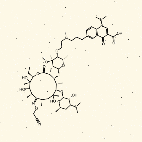 CC[C@H]1OC(=O)[C@H](C)[C@@H](O[C@H]2C[C@@](C)(OC)[C@@H](OCCN(C)CCCc3ccc4c(c3)c(=O)c(C(=O)O)cn4N(C)C)[C@H](C)O2)[C@H](C)[C@@H](O[C@@H]2O[C@H](C)C[C@H](N(C)C)[C@H]2O)[C@](C)(O)C[C@@H](C)/C(=N\OCC#N)[C@@H](C)[C@@H](O)[C@]1(C)O